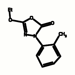 CCOc1nn(-c2ccccc2C)c(=O)o1